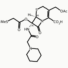 CSCC(=O)O[C@]1(NC(=O)CN2CCCCC2)C(=O)N2C(C(=O)O)=C(COC(C)=O)CS[C@@H]21